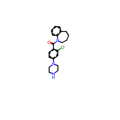 O=C(c1ccc(N2CCNCC2)cc1Cl)N1CCCCc2ccccc21